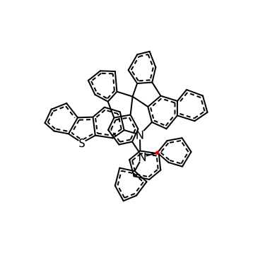 c1ccc(N(c2ccccc2)c2ccc3c(c2)C2(c4ccccc4-3)c3ccccc3-c3c2c(N(c2ccccc2)c2ccc4c(c2)sc2ccccc24)cc2ccccc32)cc1